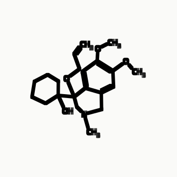 C=CCOC1(C2(O)CCCCC2)CN(C)Cc2cc(OC)c(OC)cc21